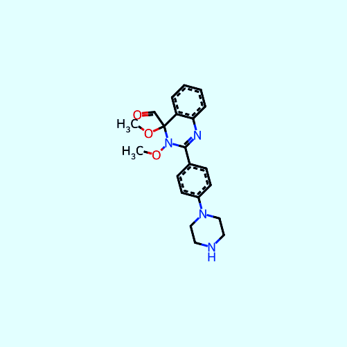 CON1C(c2ccc(N3CCNCC3)cc2)=Nc2ccccc2C1(C=O)OC